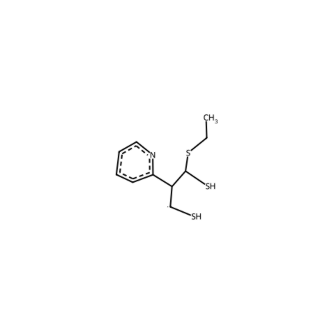 CCSC(S)C([CH]S)c1ccccn1